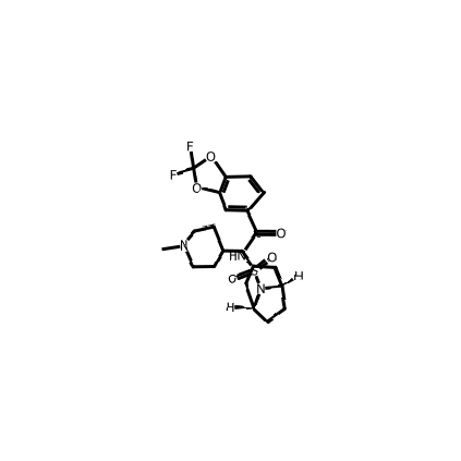 CN1CCC(CS(=O)(=O)N2[C@@H]3CC[C@H]2C[C@@H](NC(=O)c2ccc4c(c2)OC(F)(F)O4)C3)CC1